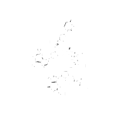 CC[n+]1cn(C2O[C@H](COP(=O)(O)OP(=O)(O)OP(=O)(O)OC[C@H]3O[C@@H](n4cnc5c(N)ncnc54)[C@H](OC)[C@@H]3P(=O)([O-])OC[C@H]3O[C@@H](n4ccc(=O)[nH]c4=O)[C@H](O)[C@@H]3O)[C@@H](CC(=O)N(C)C)[C@H]2O)c2nc(N)[nH]c(=O)c21